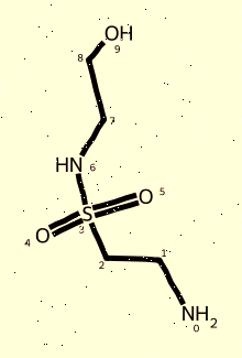 NCCS(=O)(=O)NCCO